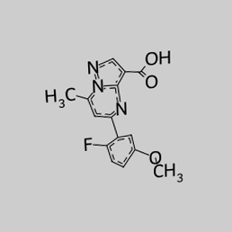 COc1ccc(F)c(-c2cc(C)n3ncc(C(=O)O)c3n2)c1